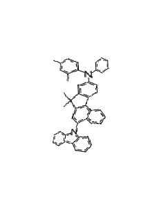 Cc1ccc(N(c2ccccc2)c2ccc3c(c2)C(C)(C)c2cc(-n4c5ccccc5c5ccccc54)c4ccccc4c2-3)c(C)c1